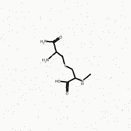 CNC(CSCC(N)C(N)=O)C(=O)O